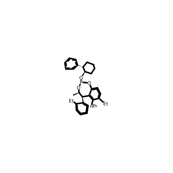 CCCC1=C2C(=C=C=C1CC)OP(O[C@@H]1CCCC[C@H]1c1ccccc1)O[C@H](C)[C@@H]2C1=C=C=C=C=C1CC